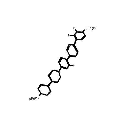 CCCCCCCc1ccc(-c2ccc(-c3ccc(C4CCC(C5CCC(CCCCC)CC5)CC4)cc3F)cc2)c(F)c1F